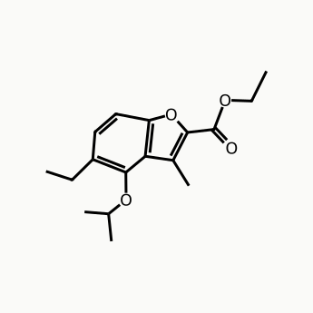 CCOC(=O)c1oc2ccc(CC)c(OC(C)C)c2c1C